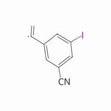 C=[C]c1cc(I)cc(C#N)c1